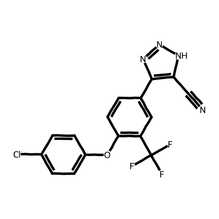 N#Cc1[nH]nnc1-c1ccc(Oc2ccc(Cl)cc2)c(C(F)(F)F)c1